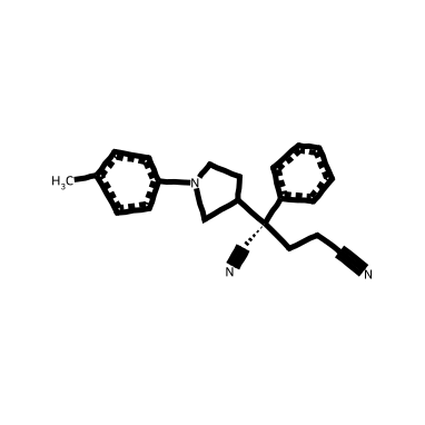 Cc1ccc(N2CCC([C@](C#N)(CCC#N)c3ccccc3)C2)cc1